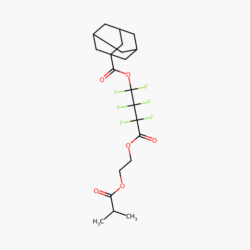 CC(C)C(=O)OCCOC(=O)C(F)(F)C(F)(F)C(F)(F)OC(=O)C12CC3CC(CC(C3)C1)C2